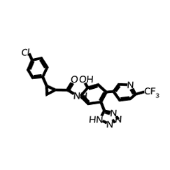 O=C(Nc1cc(-c2nnn[nH]2)c(-c2ccc(C(F)(F)F)nc2)cc1O)C1CC1c1ccc(Cl)cc1